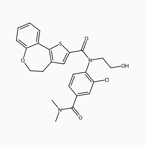 CN(C)C(=O)c1ccc(N(CCO)C(=O)c2cc3c(s2)-c2ccccc2OCC3)c(Cl)c1